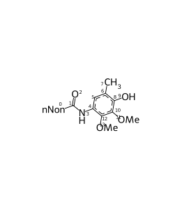 CCCCCCCCCC(=O)Nc1cc(C)c(O)c(OC)c1OC